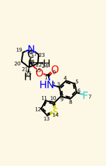 O=C(Nc1ccc(F)cc1-c1cccs1)O[C@H]1C[N@]2CC[C@H]1CC2